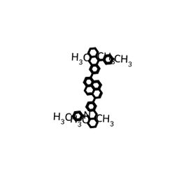 Cc1ccc(C2c3ccc(-c4ccc5c6c7c(ccc46)C=CC(c4ccc6c(c4)CC4(C)CCCCC4(C)N6c4ccc(C)cc4)C7=CC5)cc3CC3(C)CCCCC23C)cc1